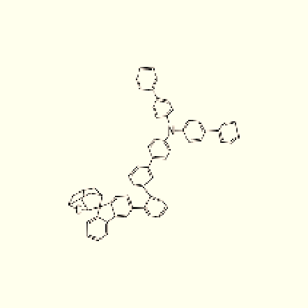 c1ccc(-c2ccc(N(c3ccc(-c4ccccc4)cc3)c3ccc(-c4cccc(-c5ccccc5-c5ccc6c(c5)-c5ccccc5C65C6CC7CC(C6)CC5C7)c4)cc3)cc2)cc1